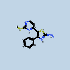 CSc1nccc(-c2sc(N)nc2-c2ccccc2)n1